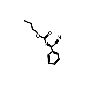 CCCCOC(=O)N=C(C#N)c1ccccc1